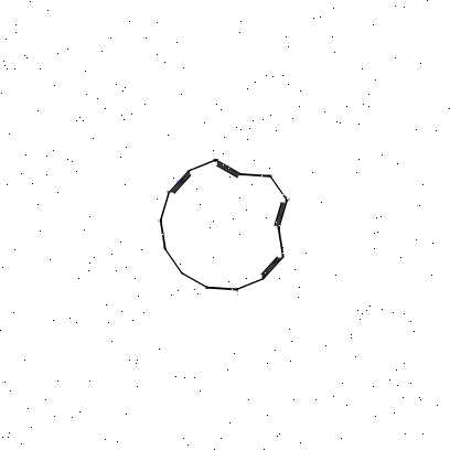 [C]1=C/C=C\CCCCC/C=C\C=C\C/1